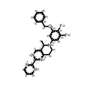 CC1c2cnc(-c3ncccn3)nc2CCN1c1cc(F)c(F)c(OCc2ccccc2)c1